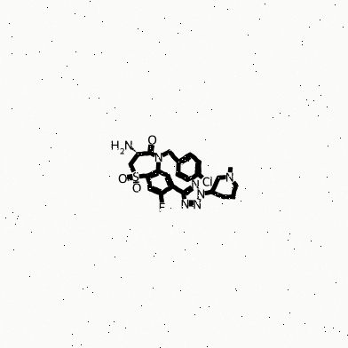 CN1CCCC(n2nnc(-c3cc4c(cc3F)S(=O)(=O)C[C@H](N)C(=O)N4Cc3ccc(Cl)cc3)n2)C1